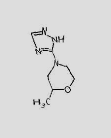 CC1CN(c2ncn[nH]2)CCO1